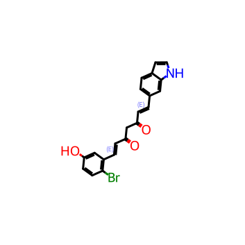 O=C(/C=C/c1ccc2cc[nH]c2c1)CC(=O)/C=C/c1cc(O)ccc1Br